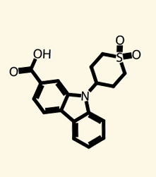 O=C(O)c1ccc2c3ccccc3n(C3CCS(=O)(=O)CC3)c2c1